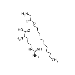 CCCCCCCCCCCCOC(=O)CN.N=C(N)NCCCC(N)C(=O)O